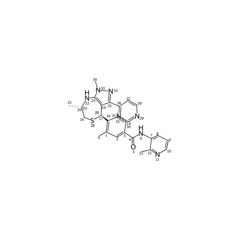 Cc1cc(C(=O)Nc2cccnc2C)ccc1[C@H]1SC[C@H](C)Nc2c1c(-c1ccncn1)nn2C